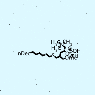 CCCCCCCCCCCCCCCCSCC(COC)CC(C[N+](C)(C)C)OP(=O)(O)O